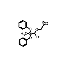 CCC(OCC1CO1)[Si](C)(Oc1ccccc1)Oc1ccccc1